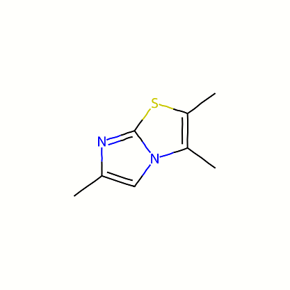 Cc1cn2c(C)c(C)sc2n1